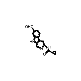 O=Cc1ccc2c(c1)[nH]c1cnc(NC(=O)C3CC3)cc12